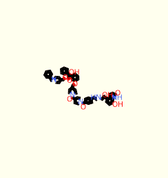 O=C(c1ccc(CCNC[C@H](O)c2ccc(O)c3[nH]c(=O)ccc23)cc1)N1CCC(C(=O)N2CCC(COc3cccc(C(O)(C(=O)OCC4CCN(Cc5ccccc5)CC4)c4ccccc4)c3)CC2)CC1